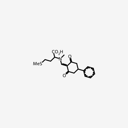 CSCCC(C(=O)O)N(C)C=C1C(=O)CC(c2ccccc2)CC1=O